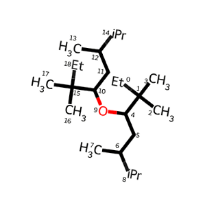 CCC(C)(C)C(CC(C)C(C)C)OC(CC(C)C(C)C)C(C)(C)CC